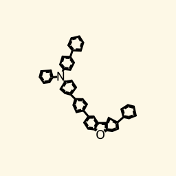 c1ccc(-c2ccc(N(c3ccccc3)c3ccc(-c4ccc(-c5ccc6oc7ccc(-c8ccccc8)cc7c6c5)cc4)cc3)cc2)cc1